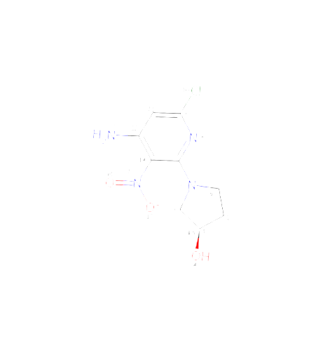 C[C@@H]1C[C@@H](O)CN1c1nc(Cl)cc(N)c1[N+](=O)[O-]